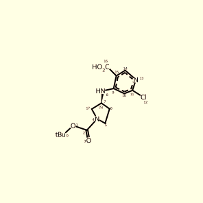 CC(C)(C)OC(=O)N1CC[C@H](Nc2cc(Cl)ncc2C(=O)O)C1